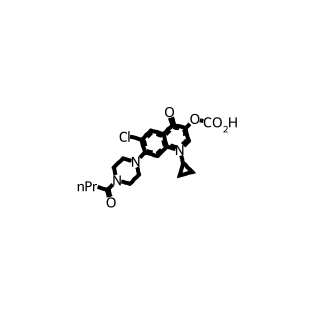 CCCC(=O)N1CCN(c2cc3c(cc2Cl)c(=O)c(OC(=O)O)cn3C2CC2)CC1